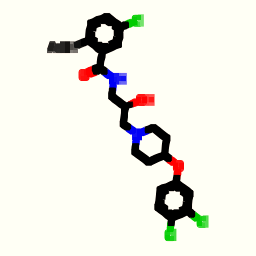 CC(=O)Nc1ccc(Cl)cc1C(=O)NC[C@@H](O)CN1CCC(Oc2ccc(Cl)c(Cl)c2)CC1